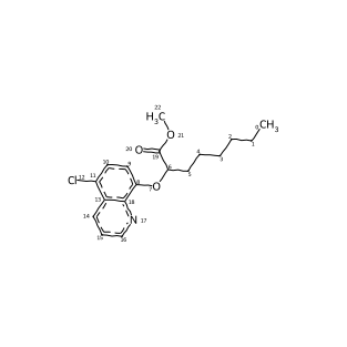 CCCCCCC(Oc1ccc(Cl)c2cccnc12)C(=O)OC